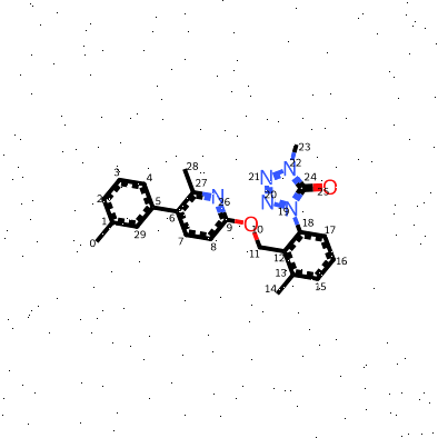 Cc1cccc(-c2ccc(OCc3c(C)cccc3-n3nnn(C)c3=O)nc2C)c1